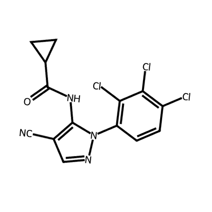 N#Cc1cnn(-c2ccc(Cl)c(Cl)c2Cl)c1NC(=O)C1CC1